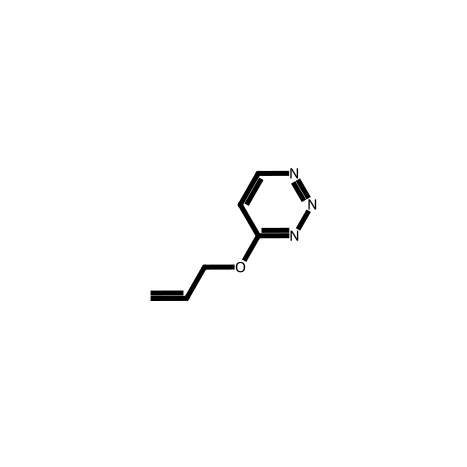 C=CCOc1ccnnn1